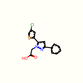 O=C(O)Cn1nc(-c2ccccc2)cc1-c1cc(Cl)cs1